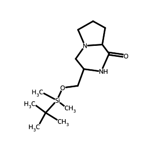 CC(C)(C)[Si](C)(C)OCC1CN2CCCC2C(=O)N1